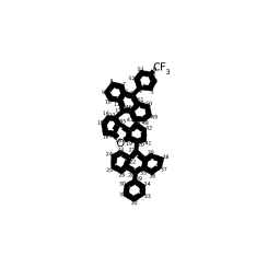 FC(F)(F)c1ccc(-c2c3ccccc3c(-c3cccc4oc5c(-c6c7ccccc7c(-c7ccccc7)c7ccccc67)cccc5c34)c3ccccc23)cc1